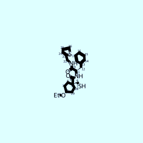 CCO[C@H]1CC[C@@](CS)(C(=O)N[C@@H](Cc2ccccc2)C(=O)NCc2cccs2)CC1